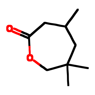 CC1CC(=O)OCC(C)(C)C1